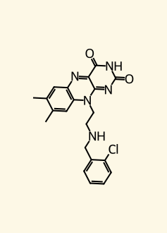 Cc1cc2nc3c(=O)[nH]c(=O)nc-3n(CCNCc3ccccc3Cl)c2cc1C